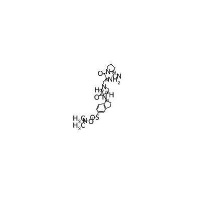 CN(C)OOSc1ccc2c(c1)CC[C@@H]2N1C(=O)[C@@H]2C[C@H]1CN2C[C@H](N)C(=O)N1CCC[C@H]1C#N